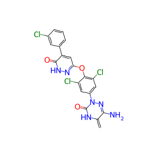 C=C1NC(=O)N(c2cc(Cl)c(Oc3cc(-c4cccc(Cl)c4)c(=O)[nH]n3)c(Cl)c2)N=C1N